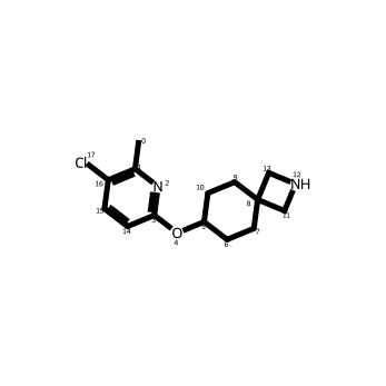 Cc1nc(OC2CCC3(CC2)CNC3)ccc1Cl